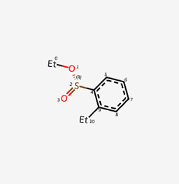 CCO[S@@](=O)c1ccccc1CC